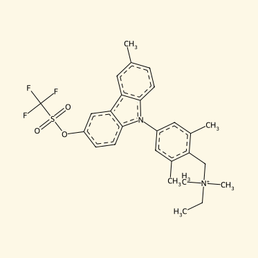 CC[N+](C)(C)Cc1c(C)cc(-n2c3ccc(C)cc3c3cc(OS(=O)(=O)C(F)(F)F)ccc32)cc1C